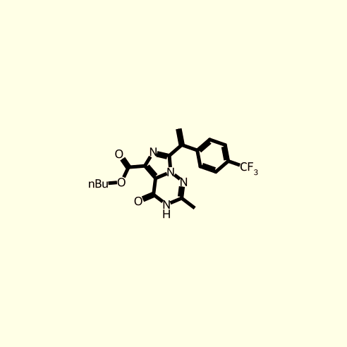 C=C(c1ccc(C(F)(F)F)cc1)c1nc(C(=O)OCCCC)c2c(=O)[nH]c(C)nn12